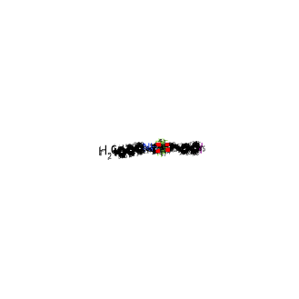 C=Cc1ccc(-c2ccc(-c3ccc(NCc4ccc(C(c5ccc(CCc6ccc(-c7ccc(I)cc7)cc6)cc5)(C(F)(F)F)C(F)(F)F)cc4)cc3)cc2)cc1